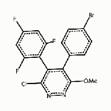 COc1nnc(Cl)c(-c2c(F)cc(F)cc2F)c1-c1ccc(Br)cc1